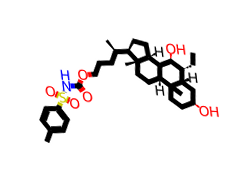 CC[C@H]1[C@@H](O)C2[C@H](CC[C@]3(C)[C@@H]([C@H](C)CCCOC(=O)NS(=O)(=O)c4ccc(C)cc4)CC[C@@H]23)C2(C)CC[C@@H](O)C[C@@H]12